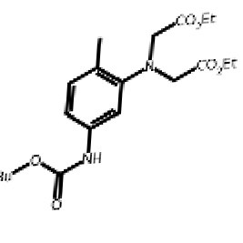 CCOC(=O)CN(CC(=O)OCC)c1cc(NC(=O)OC(C)(C)C)ccc1C